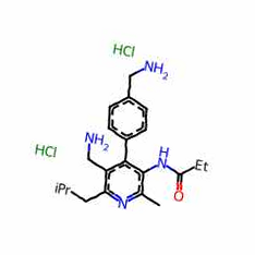 CCC(=O)Nc1c(C)nc(CC(C)C)c(CN)c1-c1ccc(CN)cc1.Cl.Cl